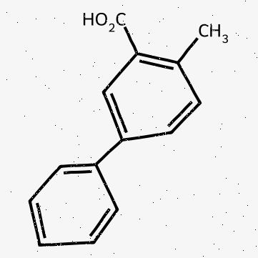 Cc1ccc(-c2ccccc2)cc1C(=O)O